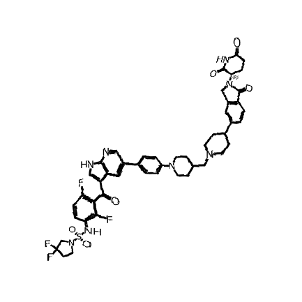 O=C1CC[C@@H](N2Cc3cc(C4CCN(CC5CCN(c6ccc(-c7cnc8[nH]cc(C(=O)c9c(F)ccc(NS(=O)(=O)N%10CCC(F)(F)C%10)c9F)c8c7)cc6)CC5)CC4)ccc3C2=O)C(=O)N1